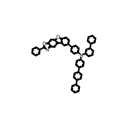 c1ccc(-c2ccc(-c3ccc(N(c4ccc(-c5ccc6oc7cc8oc(-c9ccccc9)nc8cc7c6c5)cc4)c4cccc(-c5ccccc5)c4)cc3)cc2)cc1